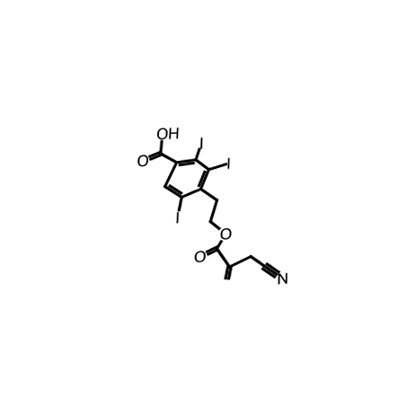 C=C(CC#N)C(=O)OCCc1c(I)cc(C(=O)O)c(I)c1I